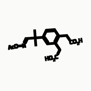 CC(=O)ON=CC(C)(C)c1ccc(CC(=O)O)c(CC(=O)O)c1